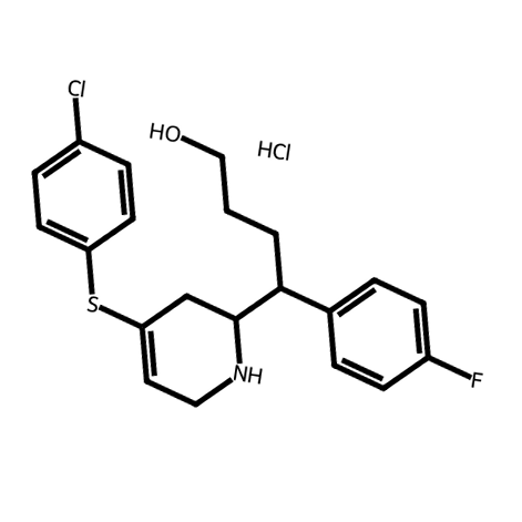 Cl.OCCCC(c1ccc(F)cc1)C1CC(Sc2ccc(Cl)cc2)=CCN1